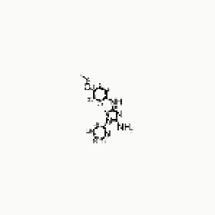 CCOc1ccc(Nc2nc(N)n(-c3ccccn3)n2)cc1